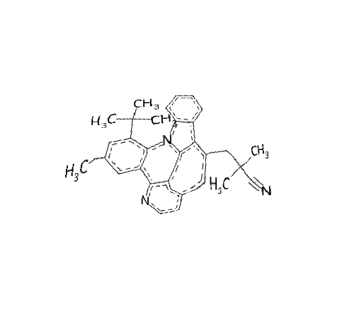 Cc1cc(C(C)(C)C)c2c(c1)c1nccc3cc(CC(C)(C)C#N)c4c5ccccc5n2c4c31